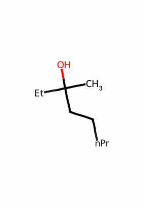 [CH2]CC(C)(O)CCCCC